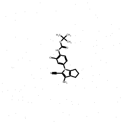 CC(C)(C)OC(=O)Nc1ccc(-n2c(C#N)c(N)c3c2CCC3)cc1Cl